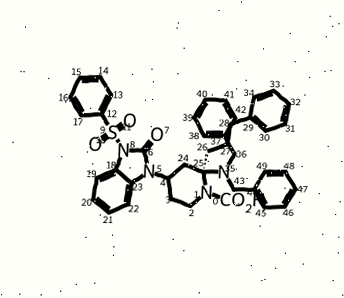 O=C(O)N1CCC(n2c(=O)n(S(=O)(=O)c3ccccc3)c3ccccc32)C[C@@]1(CCCc1ccccc1)N(Cc1ccccc1)Cc1ccccc1